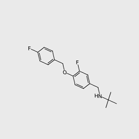 CC(C)(C)NCc1ccc(OCc2ccc(F)cc2)c(F)c1